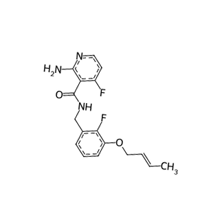 C/C=C/COc1cccc(CNC(=O)c2c(F)ccnc2N)c1F